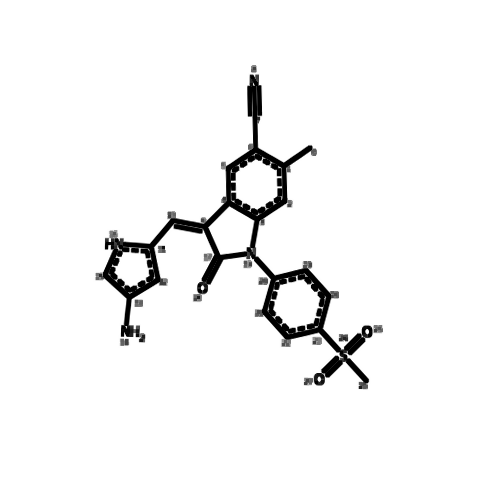 Cc1cc2c(cc1C#N)/C(=C/c1cc(N)c[nH]1)C(=O)N2c1ccc(S(C)(=O)=O)cc1